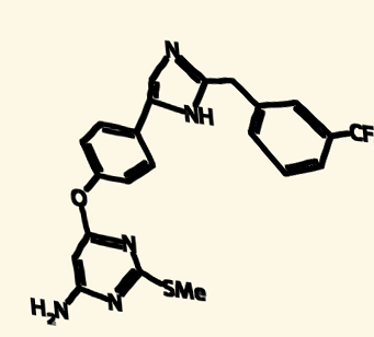 CSc1nc(N)cc(Oc2ccc(-c3cnc(Cc4cccc(C(F)(F)F)c4)[nH]3)cc2)n1